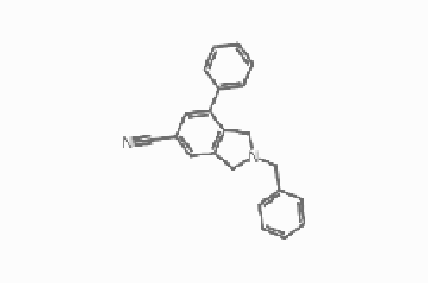 N#Cc1cc2c(c(-c3ccccc3)c1)CN(Cc1ccccc1)C2